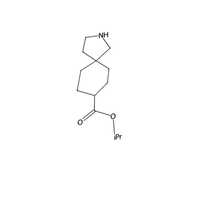 CC(C)OC(=O)C1CCC2(CCNC2)CC1